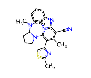 Cc1nc(-c2c(C)c(C#N)c3nc4ccccc4n3c2N2CCCC2N(C)C)cs1